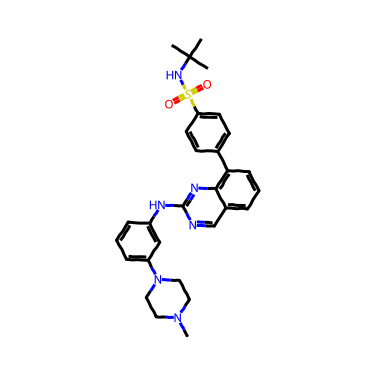 CN1CCN(c2cccc(Nc3ncc4cccc(-c5ccc(S(=O)(=O)NC(C)(C)C)cc5)c4n3)c2)CC1